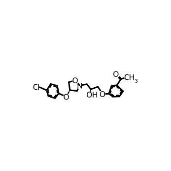 CC(=O)c1cccc(OC[C@H](O)CN2C[C@@H](Oc3ccc(Cl)cc3)CO2)c1